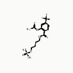 CC(=O)Oc1cc(C(F)(F)F)ccc1C(=O)NCCCCOP(C)(C)=O